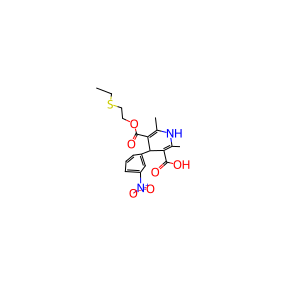 CCSCCOC(=O)C1=C(C)NC(C)=C(C(=O)O)C1c1cccc([N+](=O)[O-])c1